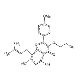 COc1ccc(-c2oc3c(CC=C(C)C)c(O)cc(O)c3c(=O)c2OCCO)cc1